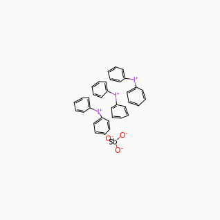 [O-][Sb]([O-])[O-].c1ccc([I+]c2ccccc2)cc1.c1ccc([I+]c2ccccc2)cc1.c1ccc([I+]c2ccccc2)cc1